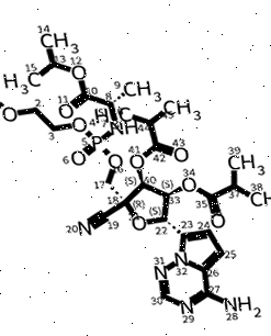 COCCOP(=O)(N[C@@H](C)C(=O)OC(C)C)OC[C@@]1(C#N)O[C@@H](c2ccc3c(N)ncnn23)[C@H](OC(=O)C(C)C)[C@@H]1OC(=O)C(C)C